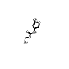 CC[C@@H](C)COC(=O)Nc1coc(C)n1